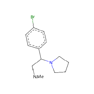 CNCC(c1ccc(Br)cc1)N1CCCC1